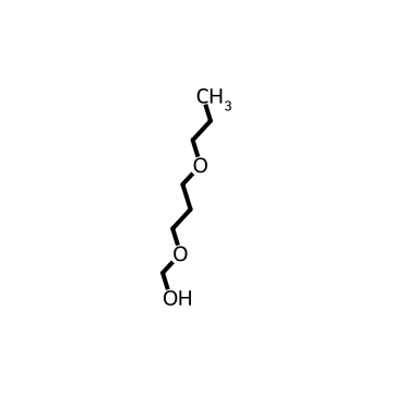 CCCOCCCOCO